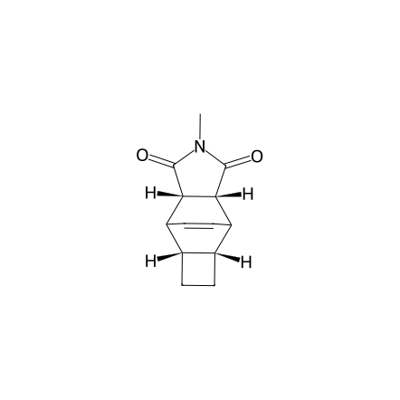 CN1C(=O)[C@@H]2C3C=CC([C@H]4CC[C@@H]34)[C@@H]2C1=O